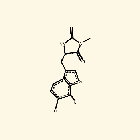 C=C1N[C@H](Cc2c[nH]c3c(Cl)c(Cl)ccc23)C(=O)N1C